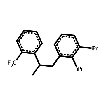 CC(C)c1cccc(CC(C)c2ccccc2C(F)(F)F)c1C(C)C